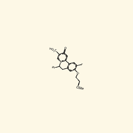 COCCOc1cc2c(cc1F)-c1cc(=O)c(C(=O)O)cn1C(C(C)C)C2